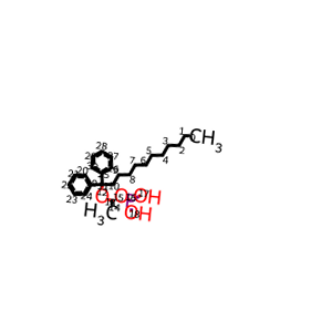 CCCCCCCCCCCC(OC(C)OP(O)O)(c1ccccc1)c1ccccc1